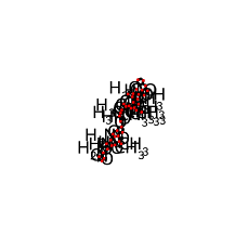 CC[C@H](C)[C@@H]([C@@H](CC(=O)N1CCC[C@H]1[C@H](OC)[C@@H](C)C(=O)N[C@@H](Cc1ccccc1)C(=O)O)OC)N(C)C(=O)[C@@H](NC(=O)C(C)(C)NC(=O)OCc1ccc(N(C(=O)[C@@H](NC(=O)CCCCCN2C(=O)C=CC2=O)C(C)C)[C@@H](CCCNC(N)=O)C(N)=O)cc1)C(C)C